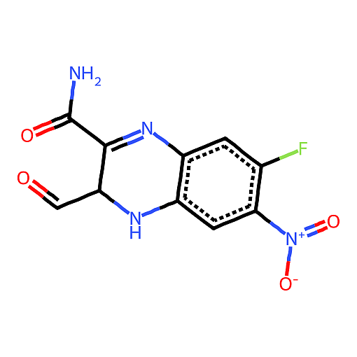 NC(=O)C1=Nc2cc(F)c([N+](=O)[O-])cc2NC1C=O